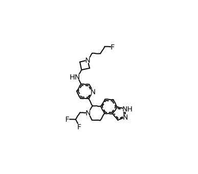 FCCCN1CC(Nc2ccc(C3c4ccc5[nH]ncc5c4CCN3CC(F)F)nc2)C1